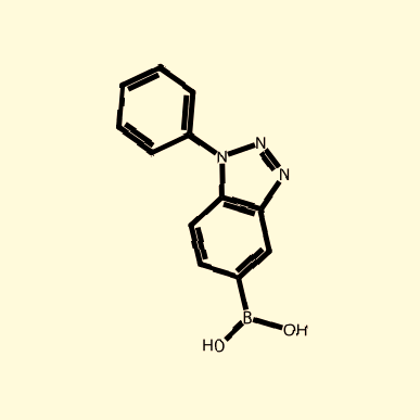 OB(O)c1ccc2c(c1)nnn2-c1ccccc1